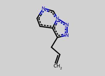 C=CCc1nnn2cnccc12